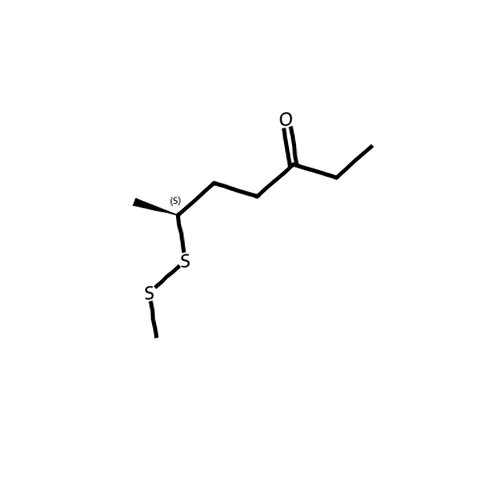 CCC(=O)CC[C@H](C)SSC